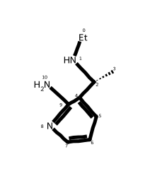 CCN[C@H](C)c1cccnc1N